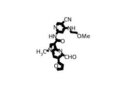 COCCNc1cc(NC(=O)c2cn(C)c3cc(-c4ccco4)c(C=O)nc23)ncc1C#N